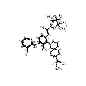 CC(C)(C)OC(=O)N1CCC2(CCCN(c3c(/C=C(\F)B4OC(C)(C)C(C)(C)O4)ccc(Oc4ncccc4F)c3C(F)(F)F)C2)CC1